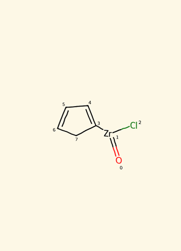 [O]=[Zr]([Cl])[C]1=CC=CC1